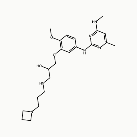 CNc1cc(C)nc(Nc2ccc(OC)c(OCC(O)CNCCCN3CCC3)c2)n1